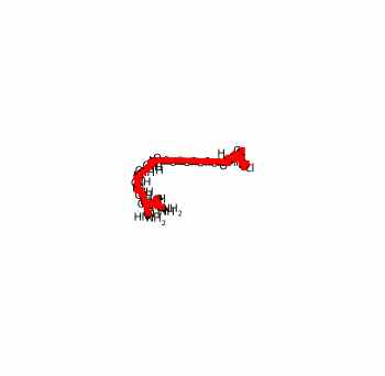 CC(=O)N1c2ccc(-c3ccc(C(=O)NCCOCCOCCOCCOCCOCCOCCOCCOCCNC(=O)c4nc(NC(=O)CCNC(=O)c5cc(NC(=O)c6nc(NC(=O)CCNC(=O)[C@H](CCCNC(=N)N)NC(=O)[C@H](CCCNC(=N)N)NC(=O)OC(C)(C)C)cn6C)cn5C)cn4C)cc3)cc2[C@H](Nc2ccc(Cl)cc2)C[C@@H]1C